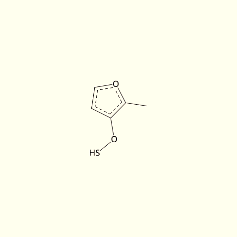 Cc1occc1OS